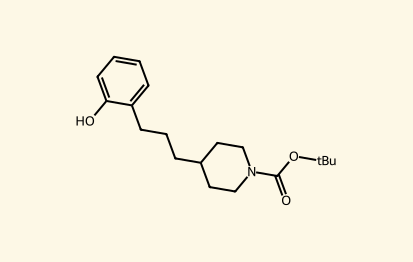 CC(C)(C)OC(=O)N1CCC(CCCc2ccccc2O)CC1